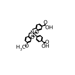 COc1ccc(CN(Cc2ccc(C(=O)O)cc2)S(=O)(=O)c2ccc(C(=O)O)cc2)cc1